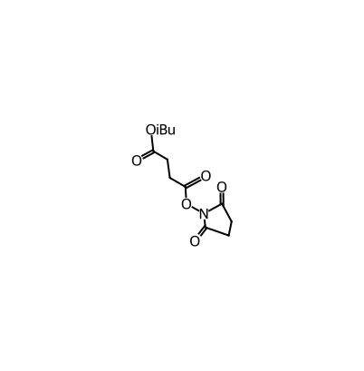 CC(C)COC(=O)CCC(=O)ON1C(=O)CCC1=O